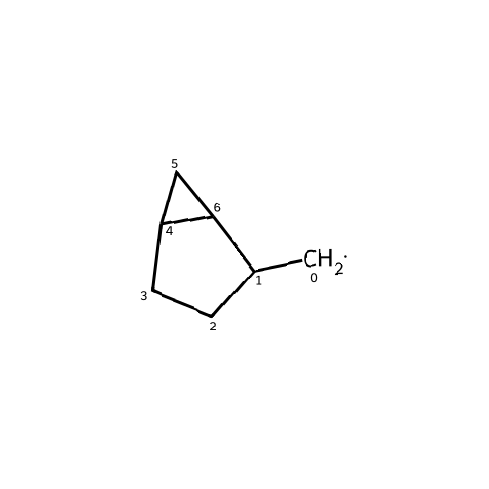 [CH2]C1CCC2CC12